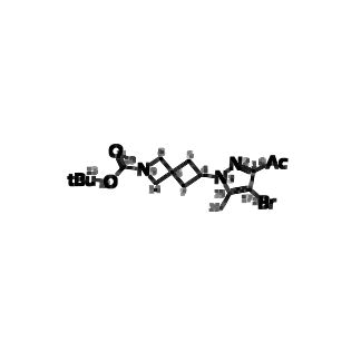 CC(=O)c1nn(C2CC3(C2)CN(C(=O)OC(C)(C)C)C3)c(C)c1Br